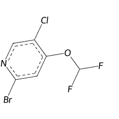 FC(F)Oc1cc(Br)ncc1Cl